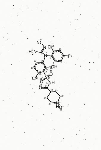 N#CN=C(N)N(c1ccc(F)cc1Cl)c1ccc(Cl)c(S(=O)(=O)NC(=O)C2CC[NH+]([O-])CC2)c1O